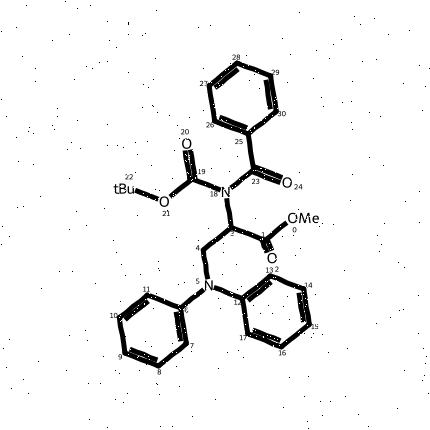 COC(=O)C(CN(c1ccccc1)c1ccccc1)N(C(=O)OC(C)(C)C)C(=O)c1ccccc1